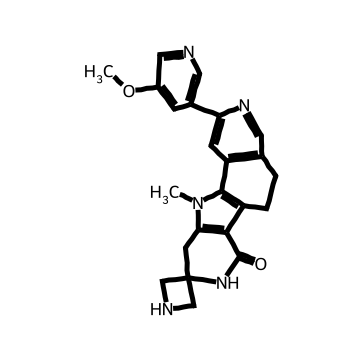 COc1cncc(-c2cc3c(cn2)CCc2c4c(n(C)c2-3)CC2(CNC2)NC4=O)c1